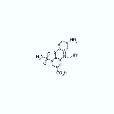 CC(C)CNc1cc(C(=O)O)cc(S(N)(=O)=O)c1Sc1ccc(N)cc1